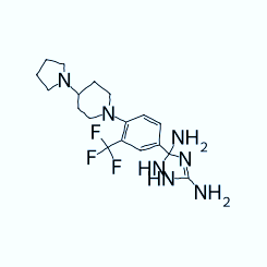 NC1=NC(N)(c2ccc(N3CCC(N4CCCC4)CC3)c(C(F)(F)F)c2)NN1